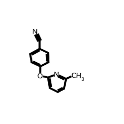 Cc1cccc(Oc2ccc(C#N)cc2)n1